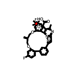 C=C1COc2cc(F)ccc2-c2cccc(c2)-c2cc3nc(C)c([C@H](OC(C)(C)C)C(=O)O)c(n3n2)-c2ccc(F)cc2OC1